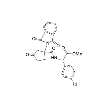 COC(=O)[C@@H](NC(=O)C1(N2C(=O)c3ccccc3C2=O)CCC(=O)C1)c1ccc(Cl)cc1